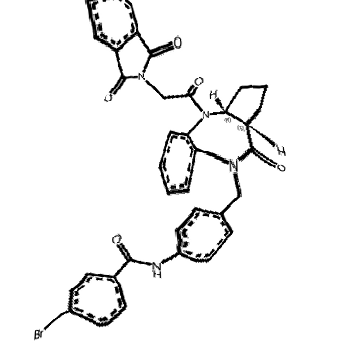 O=C(Nc1ccc(CN2C(=O)[C@H]3CCC[C@H]3N(C(=O)CN3C(=O)c4ccccc4C3=O)c3ccccc32)cc1)c1ccc(Br)cc1